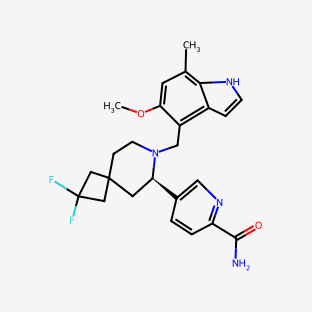 COc1cc(C)c2[nH]ccc2c1CN1CCC2(C[C@@H]1c1ccc(C(N)=O)nc1)CC(F)(F)C2